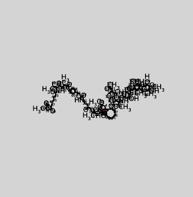 COC(=O)CC1=C2/C(=C/CSSC(C)(C)CCC(=O)CCCNC(=O)OCc3ccc(NC(=O)[C@H](C)CC(=O)[C@@H](NC(=O)CCCCCN4C(=O)CC(C)C4=O)C(C)C)cc3)[C@](O)(C#C/C=C\C#C[C@@H]2OC2OC(C)C(NOC3CC(O)C(SC(=O)c4c(C)c(I)c(OC5OC(C)C(O)C(OC)C5O)c(C)c4OC)C(C)O3)C(O)C2OC2CC(C)C(CC(C)=O)CO2)CC1=O